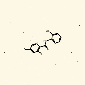 CC(=O)c1ccccc1NC(=O)c1ncc(F)cc1F